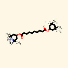 CC1(C)CC(OC(=O)CCCCCCCCC(=O)OC2CC(C)(C)NC(C)(C)C2)CC(C)(C)C1